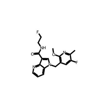 COc1nc(C)c(F)cc1Cn1cc(C(=O)NCCF)c2ncccc21